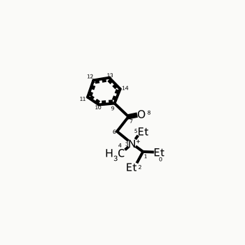 CCC(CC)[N+](C)(CC)CC(=O)c1ccccc1